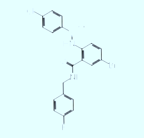 O=C(NCc1ccc(F)cc1)c1cc(Br)ccc1N[S+]([O-])c1ccc(Cl)cc1